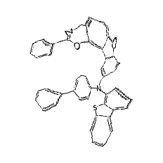 c1ccc(-c2ccc(N(c3ccc4oc5ccc6nc(-c7ccccc7)oc6c5c4c3)c3cccc4c3sc3ccccc34)cc2)cc1